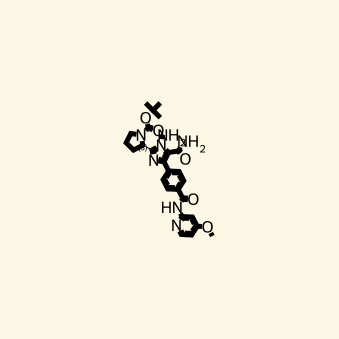 COc1ccnc(NC(=O)c2ccc(-c3nc([C@@H]4CCCN4C(=O)OC(C)(C)C)n(N)c3C(N)=O)cc2)c1